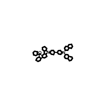 O=P1(c2ccccc2)c2ccccc2-c2ccc3c(c21)c1ccccc1n3-c1ccc(-c2ccc(N(c3ccc4ccccc4c3)c3ccc4ccccc4c3)cc2)cc1